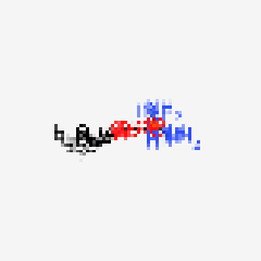 CC(C)CCCC(C)C1CCC2C3CC=C4CC(OC(=O)OCCOCCOCCNP(=O)(OCCNC(=N)N)OCCNC(=N)N)CCC4(C)C3CCC12C